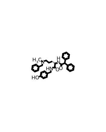 CN(CCC[C@H](NC(=O)C(c1ccccc1)c1ccccc1)C(=O)NCc1ccc(O)cc1)Cc1ccccc1